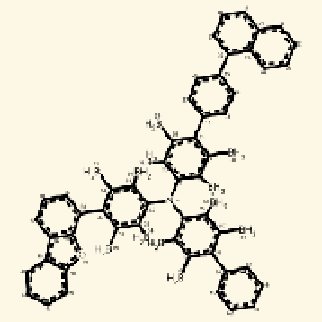 Bc1c(B)c(N(c2c(B)c(B)c(-c3ccc(-c4cccc5ccccc45)cc3)c(B)c2B)c2c(B)c(B)c(-c3cccc4c3oc3ccccc34)c(B)c2B)c(B)c(B)c1-c1ccccc1